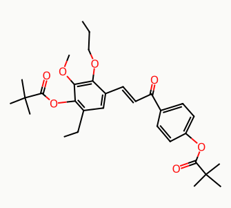 CCCOc1c(C=CC(=O)c2ccc(OC(=O)C(C)(C)C)cc2)cc(CC)c(OC(=O)C(C)(C)C)c1OC